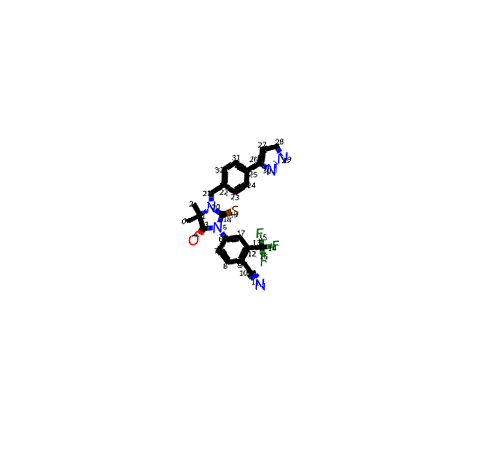 CC1(C)C(=O)N(c2ccc(C#N)c(C(F)(F)F)c2)C(=S)N1Cc1ccc(C2=CCN=N2)cc1